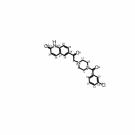 O=C(CN1CCN(C(=O)c2cccc(Cl)c2)CC1)c1ccc2[nH]c(=O)ccc2c1